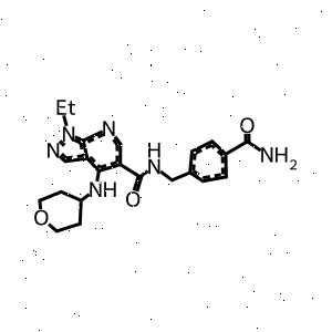 CCn1ncc2c(NC3CCOCC3)c(C(=O)NCc3ccc(C(N)=O)cc3)cnc21